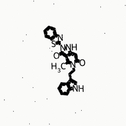 Cc1c2c(=O)n(-c3nc4ccccc4s3)[nH]c2cc(=O)n1CCc1c[nH]c2ccccc12